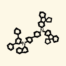 c1ccc(-c2cc(-c3ccccc3)cc(N(c3ccc(-c4ccc(N(c5ccc6c(c5)C5(CCCC5)c5ccccc5-6)c5ccc6c(c5)C5(CCCC5)c5ccccc5-6)cc4)cc3)c3cccc4ccccc34)c2)cc1